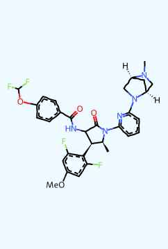 COc1cc(F)c([C@H]2C(NC(=O)c3ccc(OC(F)F)cc3)C(=O)N(c3cccc(N4C[C@@H]5C[C@H]4CN5C)n3)[C@H]2C)c(F)c1